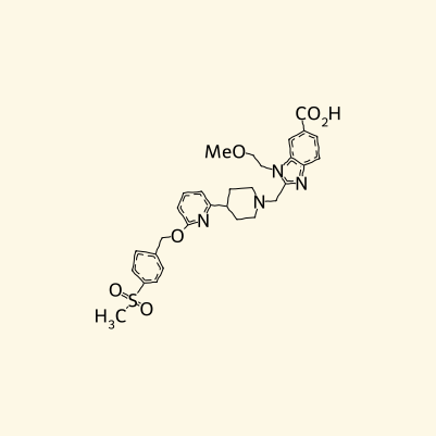 COCCn1c(CN2CCC(c3cccc(OCc4ccc(S(C)(=O)=O)cc4)n3)CC2)nc2ccc(C(=O)O)cc21